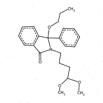 CCCOC1(c2ccccc2)c2ccccc2C(=O)N1CCCC(OC)OC